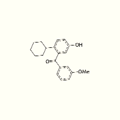 COc1cccc(C(=O)c2cc(O)ccc2C2CCCCC2)c1